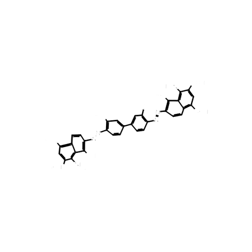 Cc1cc(-c2ccc(/N=N/c3ccc4c(S(=O)(=O)O)cc(S(=O)(=O)O)c(N)c4c3O)c(C)c2)ccc1/N=N/c1ccc2c(S(=O)(=O)O)cc(S(=O)(=O)O)c(N)c2c1C